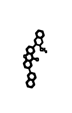 CC1Cc2ccccc2C=C1c1ccc2oc3ccc(-c4ccc5ccccc5c4)cc3c(=O)c2c1